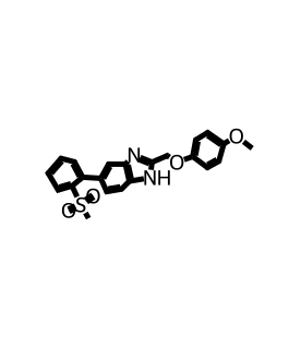 COc1ccc(OCc2nc3cc(-c4ccccc4S(C)(=O)=O)ccc3[nH]2)cc1